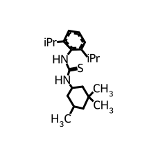 CC1CC(NC(=S)Nc2c(C(C)C)cccc2C(C)C)CC(C)(C)C1